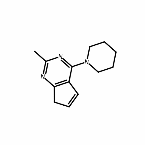 Cc1nc2c(c(N3CCCCC3)n1)C=CC2